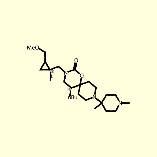 CCCC[C@H]1CN(C[C@]2(F)CC2COC)C(=O)OC12CCN(C1(C)CCN(C)CC1)CC2